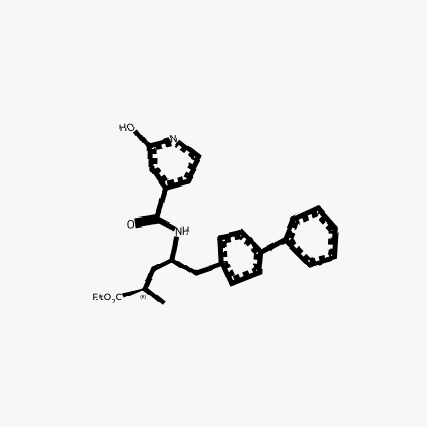 CCOC(=O)[C@H](C)CC(Cc1ccc(-c2ccccc2)cc1)NC(=O)c1ccnc(O)c1